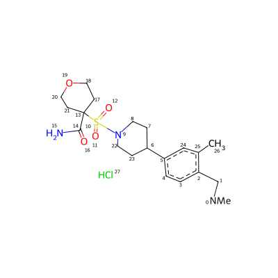 CNCc1ccc(C2CCN(S(=O)(=O)C3(C(N)=O)CCOCC3)CC2)cc1C.Cl